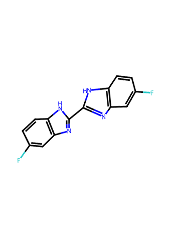 Fc1ccc2[nH]c(-c3nc4cc(F)ccc4[nH]3)nc2c1